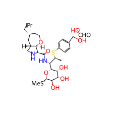 CS[C@H]1O[C@H]([C@H](NC(=O)[C@H]2NC[C@@H]3C[C@H](CC(C)C)CCO[C@H]32)[C@H](C)Sc2ccc(CO)cc2)[C@H](O)[C@H](O)[C@H]1O.O=CO